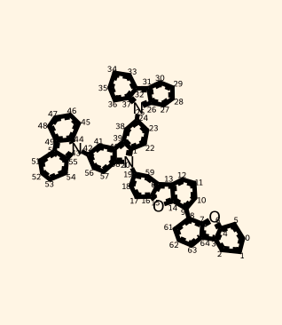 c1ccc2c(c1)oc1c(-c3cccc4c3oc3ccc(-n5c6ccc(-n7c8ccccc8c8ccccc87)cc6c6cc(-n7c8ccccc8c8ccccc87)ccc65)cc34)cccc12